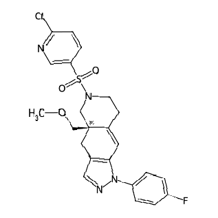 COC[C@]12Cc3cnn(-c4ccc(F)cc4)c3C=C1CCN(S(=O)(=O)c1ccc(Cl)nc1)C2